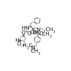 CC(C)CN(C[C@@H](O)[C@H](Cc1ccccc1)NC(=O)O[C@@H]1CC2CCO[C@@H]2C1)S(=O)(=O)c1ccc(CN(C)C)cc1